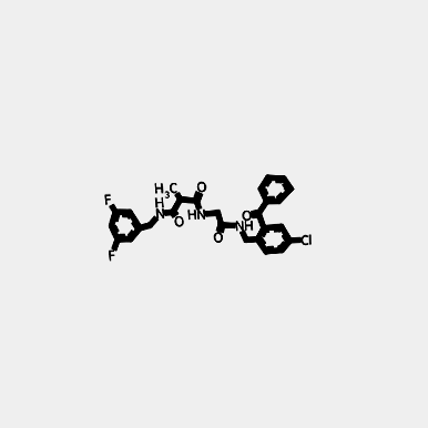 CC(C(=O)NCC(=O)NCc1ccc(Cl)cc1C(=O)c1ccccc1)C(=O)NCc1cc(F)cc(F)c1